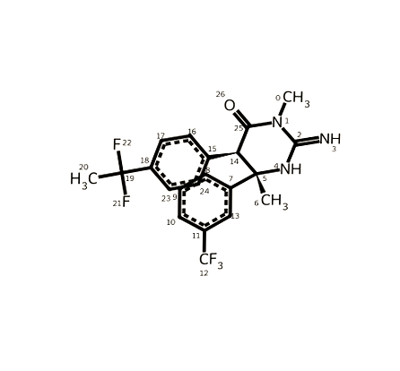 CN1C(=N)N[C@](C)(c2cccc(C(F)(F)F)c2)[C@@H](c2ccc(C(C)(F)F)cc2)C1=O